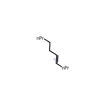 [CH2]CC/C=C/CCCCC